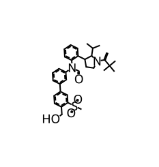 C=C(N1CCC(c2ccccc2N(C=O)c2cccc(-c3ccc(CO)c(S(C)(=O)=O)c3)c2)C1C(C)C)C(C)(C)C